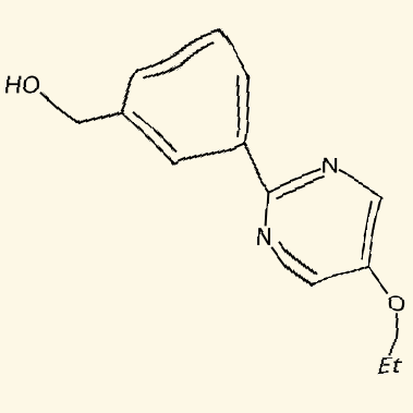 CCOc1cnc(-c2cccc(CO)c2)nc1